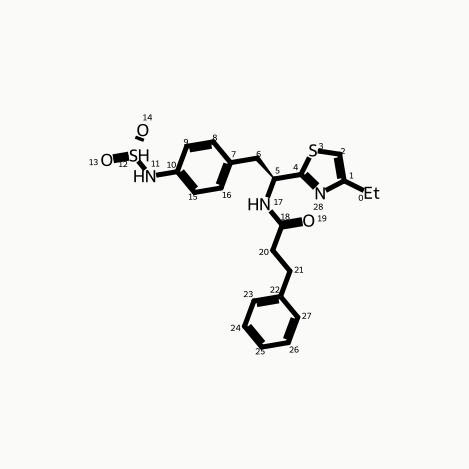 CCc1csc([C@H](Cc2ccc(N[SH](=O)=O)cc2)NC(=O)CCc2ccccc2)n1